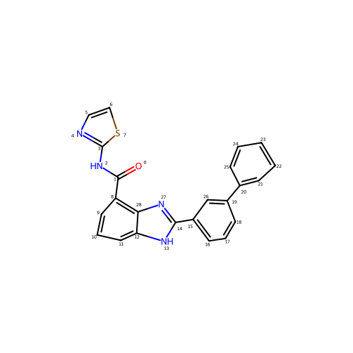 O=C(Nc1nccs1)c1cccc2[nH]c(-c3cccc(-c4ccccc4)c3)nc12